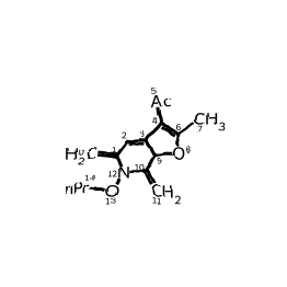 C=C1C=C2C(C(C)=O)=C(C)OC2C(=C)N1OCCC